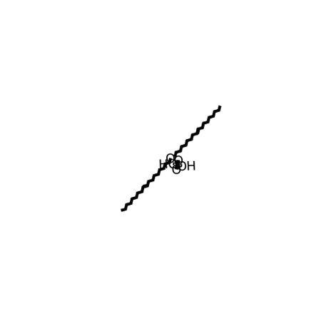 CCCCCCCCC=CCCCCCCCCOCCCCCCCCC=CCCCCCCCC.O=S(=O)(O)O